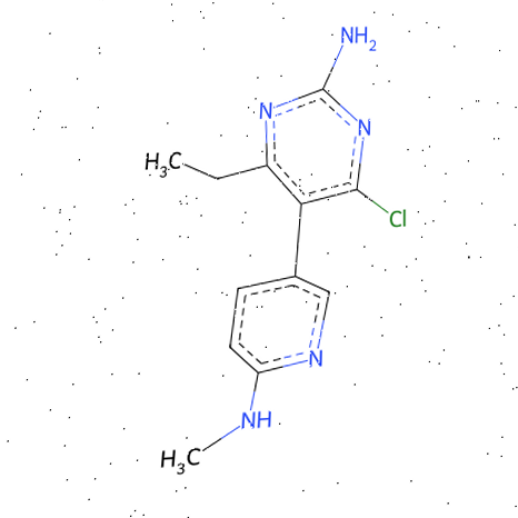 CCc1nc(N)nc(Cl)c1-c1ccc(NC)nc1